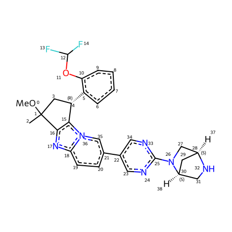 COC1(C)C[C@H](c2ccccc2OC(F)F)c2c1nc1ccc(-c3cnc(N4C[C@@H]5C[C@H]4CN5)nc3)cn21